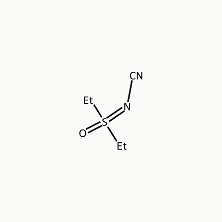 CCS(=O)(CC)=NC#N